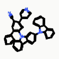 N#Cc1cc(-c2ccccc2)c(-n2c3ccccc3c3ccc(-n4c5ccccc5c5ccccc54)cc32)cc1-c1ccncc1